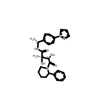 C[C@@H](NC(=O)[C@](C)(O)[C@@H](O)C(=O)N1CCCCC1c1ccccc1)c1ccc(-n2cccn2)cc1